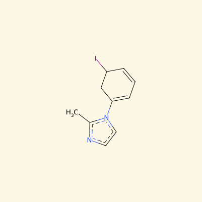 Cc1nccn1C1=CC=CC(I)C1